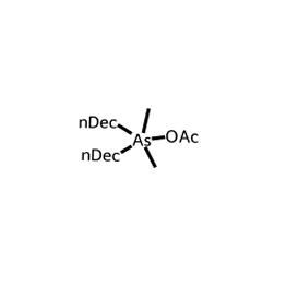 CCCCCCCCCC[As](C)(C)(CCCCCCCCCC)OC(C)=O